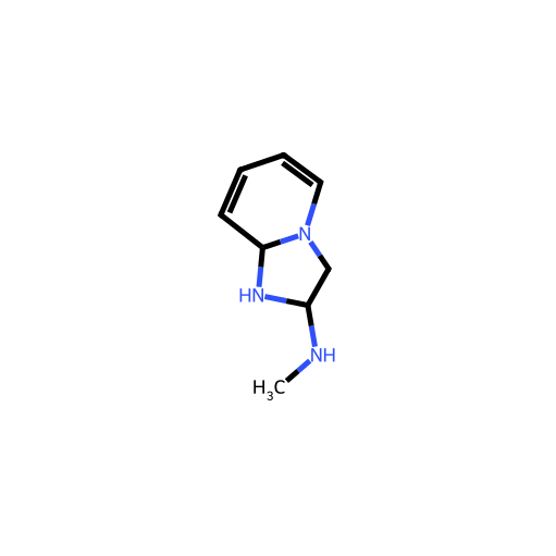 CNC1CN2C=CC=CC2N1